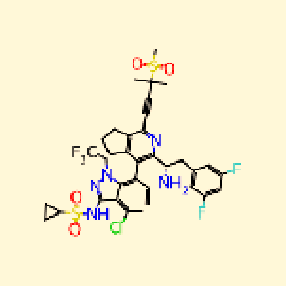 C=C/C(c1c([C@@H](N)Cc2cc(F)cc(F)c2)nc(C#CC(C)(C)S(C)(=O)=O)c2c1CCC2)=c1\c(=C(/C)Cl)c(NS(=O)(=O)C2CC2)nn1CC(F)(F)F